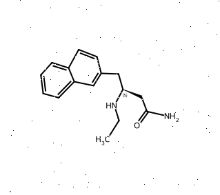 CCN[C@H](CC(N)=O)Cc1ccc2ccccc2c1